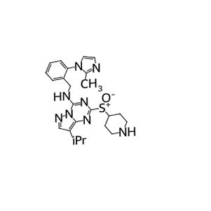 Cc1nccn1-c1ccccc1CNc1nc([S+]([O-])C2CCNCC2)nc2c(C(C)C)cnn12